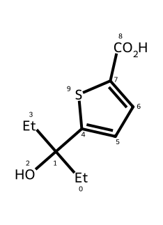 CCC(O)(CC)c1ccc(C(=O)O)s1